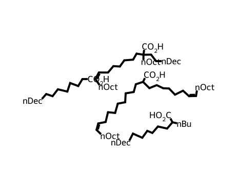 CCCCCCCC/C=C\CCCCCCC(CCCCCCCC)(CCCCCCCCCCCC)C(=O)O.CCCCCCCC/C=C\CCCCCCCCC(CCCCCC/C=C\CCCCCCCC)C(=O)O.CCCCCCCCCCCCCCCCC(CCCC)C(=O)O.CCCCCCCCCCCCCCCCCC(=O)O